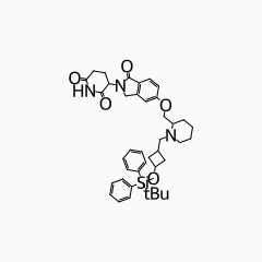 CC(C)(C)[Si](OC1CC(CN2CCCCC2COc2ccc3c(c2)CN(C2CCC(=O)NC2=O)C3=O)C1)(c1ccccc1)c1ccccc1